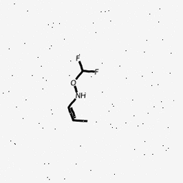 C/C=C\NOC(F)F